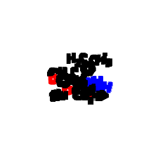 Cc1ccc(-c2c(C)c(-c3ccc4c(c3)CCCO4)c(C(OC(C)(C)C)C(=O)O)c(C)c2NC(=O)NC2CC2)cc1C